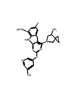 CNc1cc(F)cc2c1[nH]c1nc(Oc3cncc(C#N)c3)nc(N3CC(N)C4(CC4)C3)c12